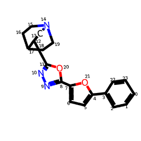 c1ccc(-c2ccc(-c3nnc(C4CN5CCC4CC5)o3)o2)cc1